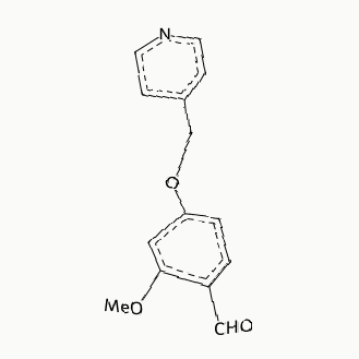 COc1cc(OCc2ccncc2)ccc1C=O